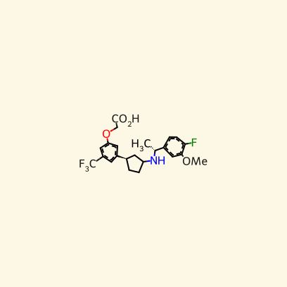 COc1cc([C@@H](C)NC2CC[C@@H](c3cc(OCC(=O)O)cc(C(F)(F)F)c3)C2)ccc1F